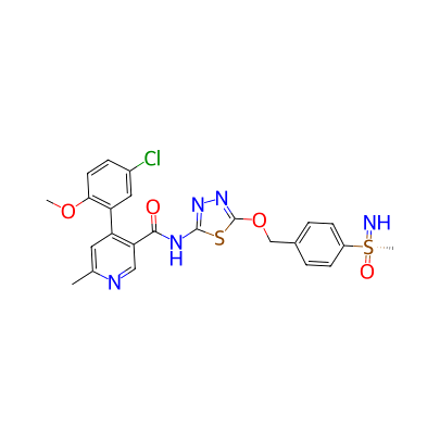 COc1ccc(Cl)cc1-c1cc(C)ncc1C(=O)Nc1nnc(OCc2ccc([S@@](C)(=N)=O)cc2)s1